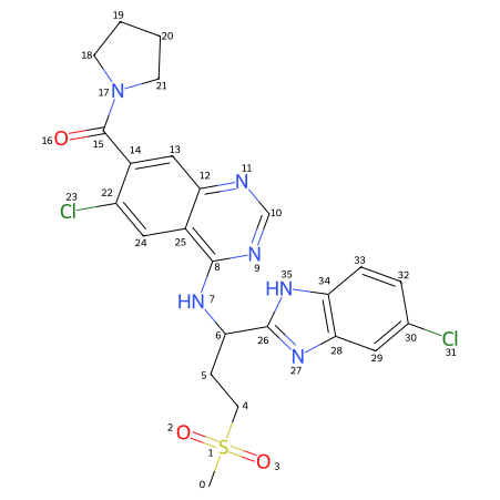 CS(=O)(=O)CCC(Nc1ncnc2cc(C(=O)N3CCCC3)c(Cl)cc12)c1nc2cc(Cl)ccc2[nH]1